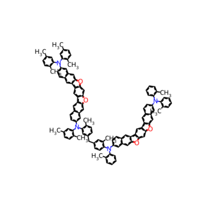 Cc1ccc(C)c(N(c2ccc3cc4c(cc3c2)oc2cc3oc5cc6cc(N(c7cc(C)ccc7C)c7cc(Cc8ccc(N(c9ccc%10cc%11c(cc%10c9)oc9cc%10oc%12cc%13cc(N(c%14ccccc%14C)c%14ccccc%14C)ccc%13cc%12c%10cc9%11)c9ccccc9C)c(C)c8)ccc7C)ccc6cc5c3cc24)c2cc(C)ccc2C)c1